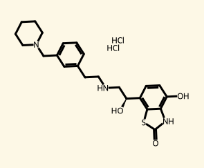 Cl.Cl.O=c1[nH]c2c(O)ccc([C@@H](O)CNCCc3cccc(CN4CCCCC4)c3)c2s1